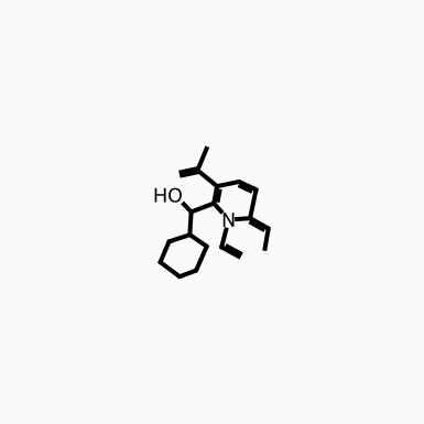 C=CN1C(C(O)C2CCCCC2)=C(C(=C)C)C=C/C1=C/C